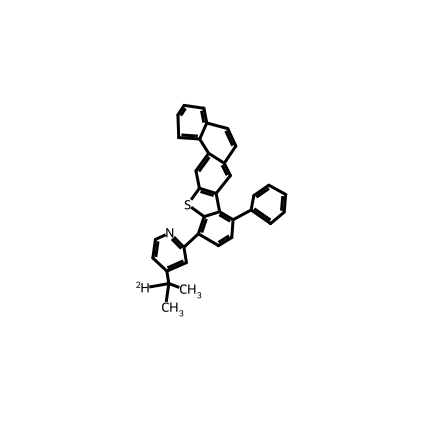 [2H]C(C)(C)c1ccnc(-c2ccc(-c3ccccc3)c3c2sc2cc4c(ccc5ccccc54)cc23)c1